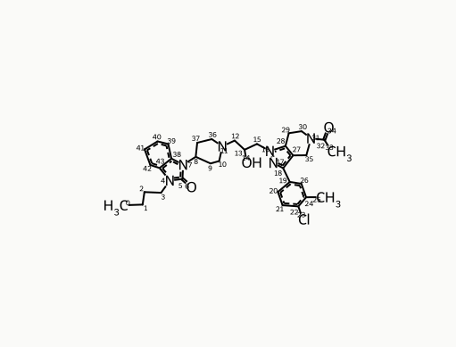 CCCCn1c(=O)n(C2CCN(CC(O)Cn3nc(-c4ccc(Cl)c(C)c4)c4c3CCN(C(C)=O)C4)CC2)c2ccccc21